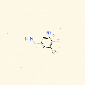 N.N#Cc1cc(CN)ccc1F